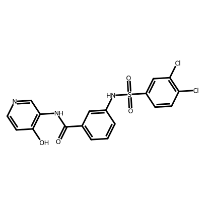 O=C(Nc1cnccc1O)c1cccc(NS(=O)(=O)c2ccc(Cl)c(Cl)c2)c1